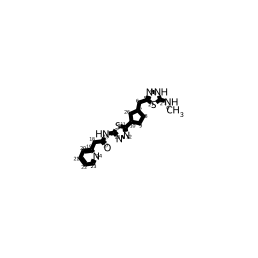 CNC1NN=C(CC2CCC(c3nnc(NC(=O)Cc4ccccn4)s3)C2)S1